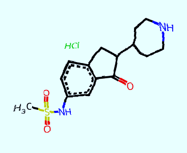 CS(=O)(=O)Nc1ccc2c(c1)C(=O)C(C1CCNCC1)C2.Cl